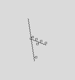 CCCCCCCCCCCCCCCC(=O)OC(CCCCCCCCCCCCCC(Cl)CCC)CCC(Cl)CCC(Cl)C(Cl)CCCC(C)Cl